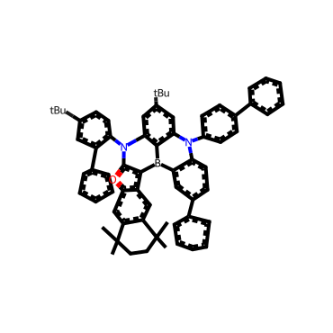 CC(C)(C)c1ccc(N2c3cc(C(C)(C)C)cc4c3B(c3cc(-c5ccccc5)ccc3N4c3ccc(-c4ccccc4)cc3)c3c2oc2cc4c(cc32)C(C)(C)CCC4(C)C)c(-c2ccccc2)c1